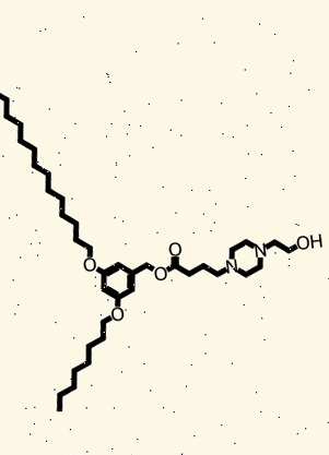 CCCCCCCCCCCCCCCOc1cc(COC(=O)CCCN2CCN(CCO)CC2)cc(OCCCCCCCC)c1